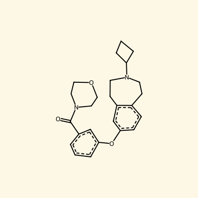 O=C(c1cccc(Oc2ccc3c(c2)CCN(C2CCC2)CC3)c1)N1CCOCC1